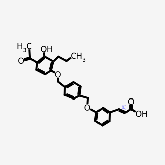 CCCc1c(OCc2ccc(COc3cccc(/C=C/C(=O)O)c3)cc2)ccc(C(C)=O)c1O